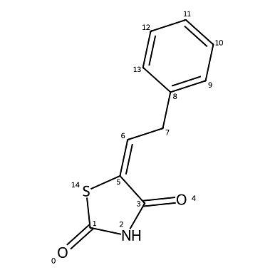 O=C1NC(=O)/C(=C\Cc2ccccc2)S1